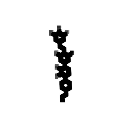 CCCC1CCC(c2ccc(-c3cc(F)c(CCc4cc(F)c(F)c(F)c4)c(F)c3)c(F)c2F)CC1